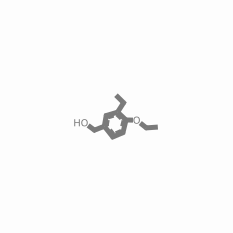 CCOc1ccc([CH]O)cc1CC